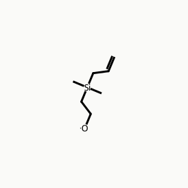 C=CC[Si](C)(C)CC[O]